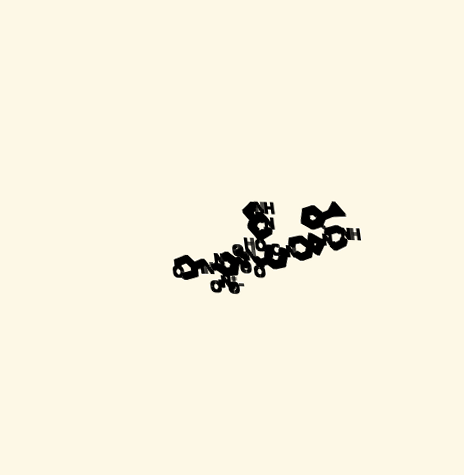 O=C(NS(=O)(=O)c1cnc(NCC2CCOCC2)c([N+](=O)[O-])c1)c1ccc(N2CCC3(CC2)CC(N2CCNC[C@H]2c2ccccc2C2CC2)C3)cc1Oc1cnc2[nH]ccc2c1